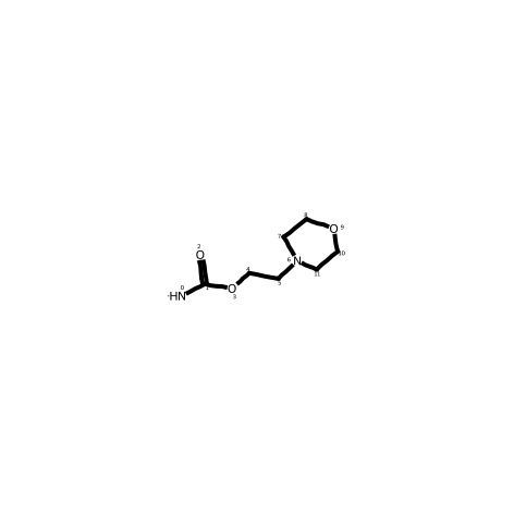 [NH]C(=O)OCCN1CCOCC1